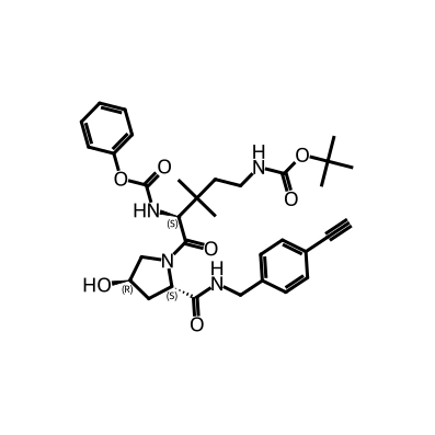 C#Cc1ccc(CNC(=O)[C@@H]2C[C@@H](O)CN2C(=O)[C@@H](NC(=O)Oc2ccccc2)C(C)(C)CCNC(=O)OC(C)(C)C)cc1